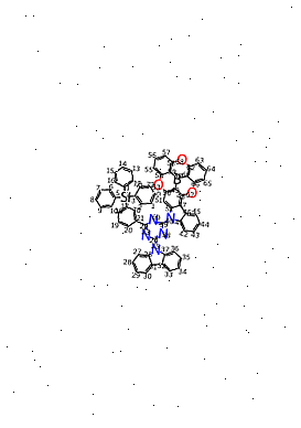 c1ccc([Si](c2ccccc2)(c2ccccc2)c2cccc(-c3nc(-n4c5ccccc5c5ccccc54)nc(-n4c5ccccc5c5c6c7c(cc54)Oc4cccc5c4B7c4c(cccc4O6)O5)n3)c2)cc1